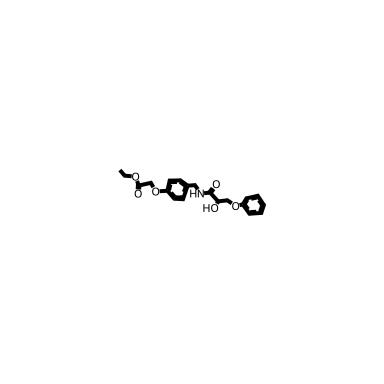 CCOC(=O)COc1ccc(CNC(=O)C(O)COc2ccccc2)cc1